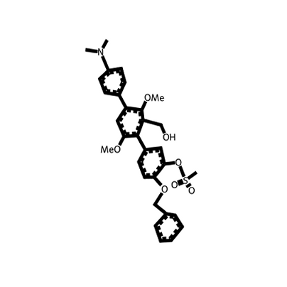 COc1cc(-c2ccc(N(C)C)cc2)c(OC)c(CO)c1-c1ccc(OCc2ccccc2)c(OS(C)(=O)=O)c1